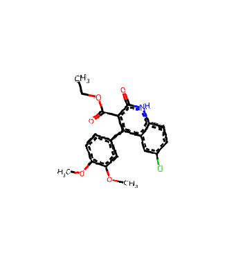 CCOC(=O)c1c(-c2ccc(OC)c(OC)c2)c2cc(Cl)ccc2[nH]c1=O